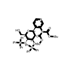 CC(C)[Si](O[C@@H]1[C@@H](CO)O[C@@H](c2ccncc2N(C(=O)OC(C)(C)C)C(=O)OC(C)(C)C)C[C@H]1O[Si](C(C)C)(C(C)C)C(C)C)(C(C)C)C(C)C